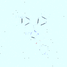 CN1CCC(S(=O)(=O)c2c[nH]c(C(c3ccc(F)c(F)c3)c3ccc(F)c(Cl)c3)n2)CC1